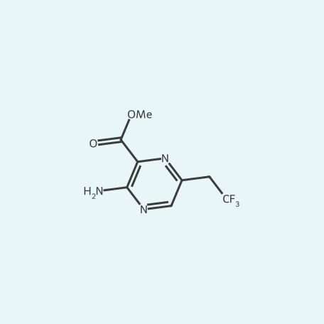 COC(=O)c1nc(CC(F)(F)F)cnc1N